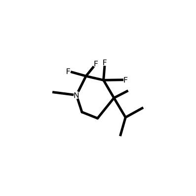 CC(C)C1(C)CCN(C)C(F)(F)C1(F)F